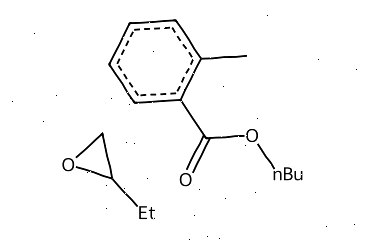 CCC1CO1.CCCCOC(=O)c1ccccc1C